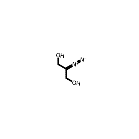 [N-]=[N+]=C(CO)CO